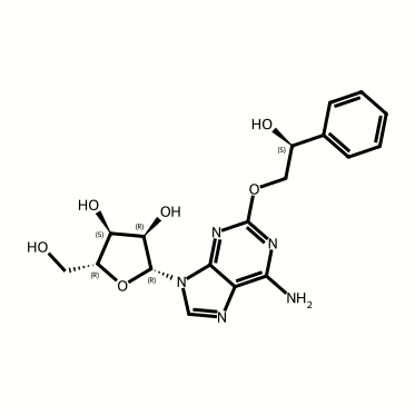 Nc1nc(OC[C@@H](O)c2ccccc2)nc2c1ncn2[C@@H]1O[C@H](CO)[C@@H](O)[C@H]1O